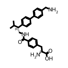 CC(C)[C@@H](CNC(=O)c1ccc(C[C@@H](N)C(=O)O)cc1)c1ccc(-c2ccc(CN)cc2)cc1